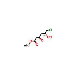 CCCCOC(=O)CC(=O)C[C@H](O)CCl